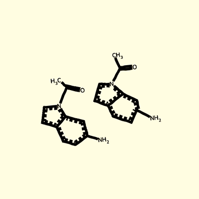 CC(=O)n1ccc2ccc(N)cc21.CC(=O)n1ccc2ccc(N)cc21